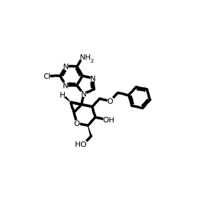 Nc1nc(Cl)nc2c1ncn2C12C3O[C@H](CO)C(O)C1(COCc1ccccc1)[C@@H]32